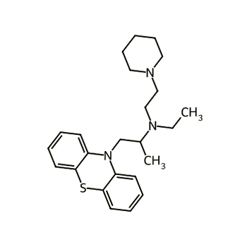 CCN(CCN1CCCCC1)C(C)CN1c2ccccc2Sc2ccccc21